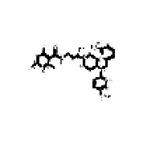 COc1ccc(N(Cc2cccc(C(F)(F)F)n2)C2CCN([C@H](C)CCNC(=O)c3c(C)cc(Cl)nc3C)CC2)nc1